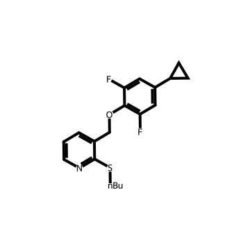 CCCCSc1ncccc1COc1c(F)cc(C2CC2)cc1F